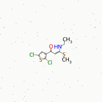 CCN/C(=C\C(=O)c1cc(Cl)sc1Cl)SC